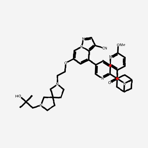 COc1ccc(C(=O)N2C3CC2CN(c2ccc(-c4cc(OCCN5CCC6(CCN(CC(C)(C)O)C6)C5)cn5ncc(C#N)c45)cn2)C3)cn1